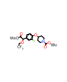 COC(=O)C(OCC(F)(F)F)c1ccc(OC2CCN(C(=O)OC(C)(C)C)CC2)c(F)c1